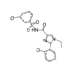 CCn1cc(C(=O)NS(=O)(=O)c2cccc(Cl)c2)nc1-c1ccccc1Cl